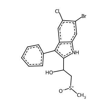 C[S+]([O-])CC(O)c1[nH]c2cc(Br)c(Cl)cc2c1-c1ccccc1